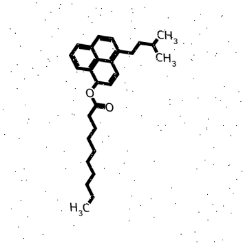 CCCCCCCCCC(=O)OC1C=Cc2c(CCC(C)C)ccc3cccc1c23